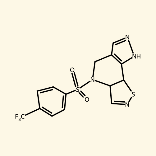 O=S(=O)(c1ccc(C(F)(F)F)cc1)N1Cc2cn[nH]c2C2SN=CC21